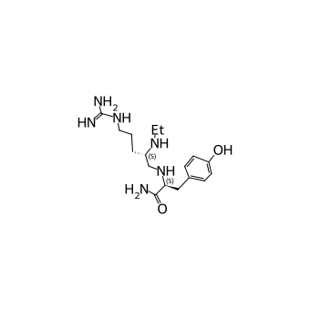 CCN[C@@H](CCCNC(=N)N)CN[C@@H](Cc1ccc(O)cc1)C(N)=O